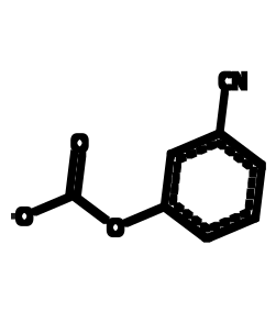 N#Cc1cccc(OC([O])=O)c1